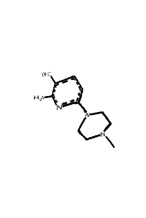 CN1CCN(c2ccc(C=O)c(N)n2)CC1